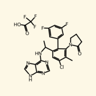 Cc1c(Cl)cc(C(C)Nc2ncnc3[nH]cnc23)c(-c2cc(F)cc(F)c2)c1N1CCCC1=O.O=C(O)C(F)(F)F